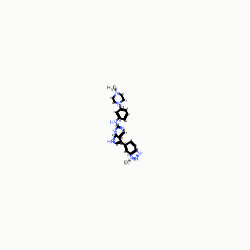 CCn1nnc2ccc(-c3c[nH]c4nc(Nc5cccc(N6CCN(C)CC6)c5)ncc34)cc21